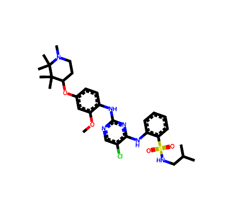 COc1cc(OC2CCN(C)C(C)(C)C2(C)C)ccc1Nc1ncc(Cl)c(Nc2ccccc2S(=O)(=O)NCC(C)C)n1